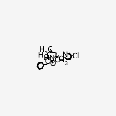 CC(C)CC(C)(COc1ccc(Cl)cn1)NC(=O)OCc1ccccc1